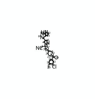 N#CCC1(n2cc(-c3ncnc4[nH]ccc34)cn2)CN(C2CCN(C(=O)c3ccc(F)c(Cl)c3)CC2)C1